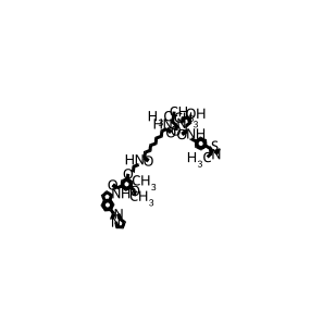 COc1cc(C(=O)N[C@@H]2CCc3ccc(-c4cn5c(n4)CCC5)cc32)cc(OCCCNC(=O)CCCCCCCC(=O)N[C@H](C(=O)N2C[C@H](O)C[C@H]2C(=O)NCc2ccc(-c3scnc3C)cc2)C(C)(C)C)c1C